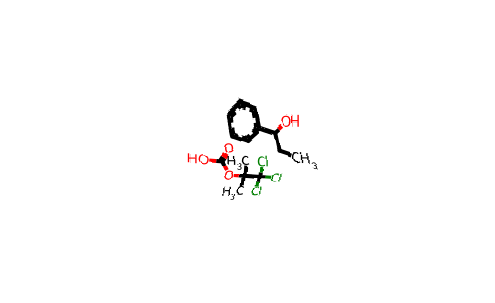 CC(C)(OC(=O)O)C(Cl)(Cl)Cl.CCC(O)c1ccccc1